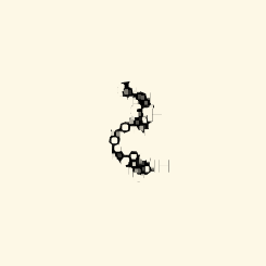 Cc1nn(C2C(=O)CCNC2=O)c2cccc(-c3cnn(CC4CCN(CC5CCC(n6cc(NC(=O)c7cnn8ccc(N9CCOC%10(CC%10)C9)nc78)c(C(F)F)n6)CC5)CC4)c3)c12